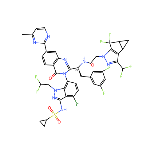 Cc1ccnc(-c2ccc3c(=O)n(-c4ccc(Cl)c5c(NS(=O)(=O)C6CC6)nn(CC(F)F)c45)c([C@H](Cc4cc(F)cc(F)c4)NC(=O)Cn4nc(C(F)F)c5c4C(F)(F)C4CC54)nc3c2)n1